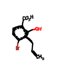 C=CCc1c(Br)ccc(C(=O)O)c1O